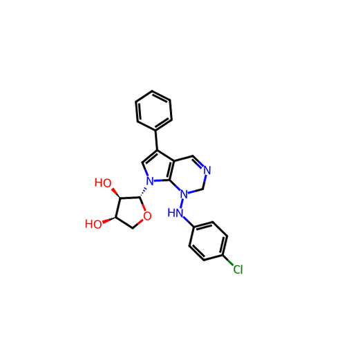 O[C@@H]1[C@H](O)CO[C@H]1n1cc(-c2ccccc2)c2c1N(Nc1ccc(Cl)cc1)CN=C2